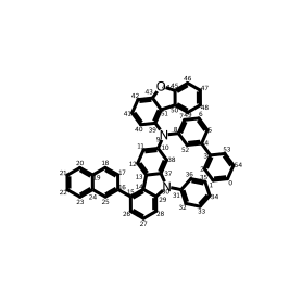 c1ccc(-c2cccc(N(c3ccc4c5c(-c6ccc7ccccc7c6)cccc5n(-c5ccccc5)c4c3)c3cccc4oc5ccccc5c34)c2)cc1